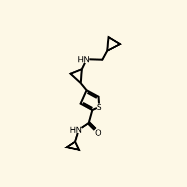 O=C(NC1CC1)c1cc(C2CC2NCC2CC2)cs1